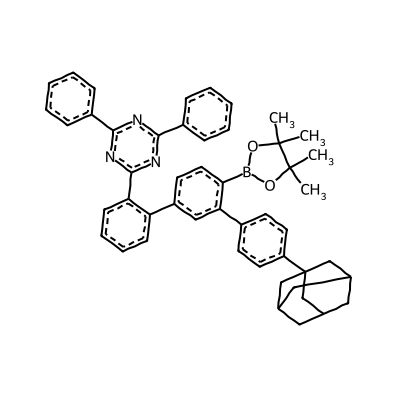 CC1(C)OB(c2ccc(-c3ccccc3-c3nc(-c4ccccc4)nc(-c4ccccc4)n3)cc2-c2ccc(C34CC5CC(CC(C5)C3)C4)cc2)OC1(C)C